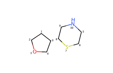 C1CCOC1.C1CSCCN1